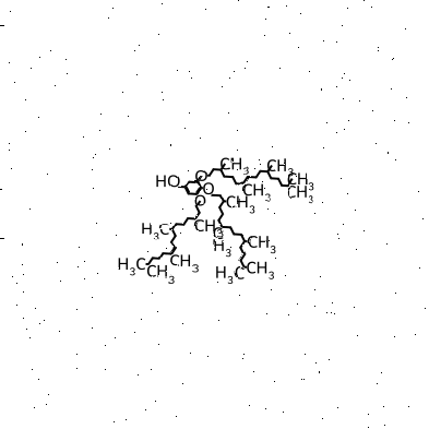 CC(C)CCCC(C)CCCC(C)CCCC(C)CCOc1cc(CO)cc(OCCC(C)CCCC(C)CCCC(C)CCCC(C)C)c1OCCC(C)CCCC(C)CCCC(C)CCCC(C)C